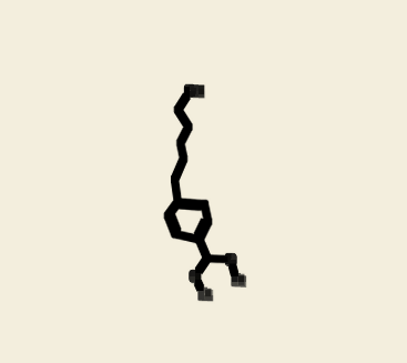 CCOC(OCC)c1ccc(CCCCCO)cc1